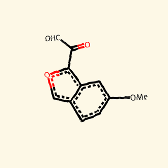 COc1ccc2coc(C(=O)C=O)c2c1